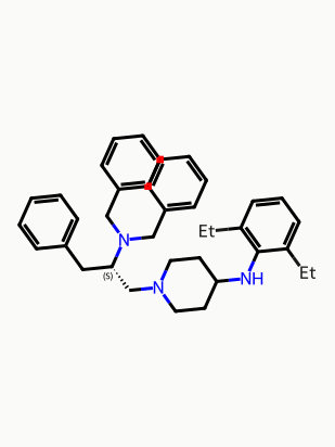 CCc1cccc(CC)c1NC1CCN(C[C@H](Cc2ccccc2)N(Cc2ccccc2)Cc2ccccc2)CC1